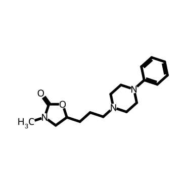 CN1CC(CCCN2CCN(c3ccccc3)CC2)OC1=O